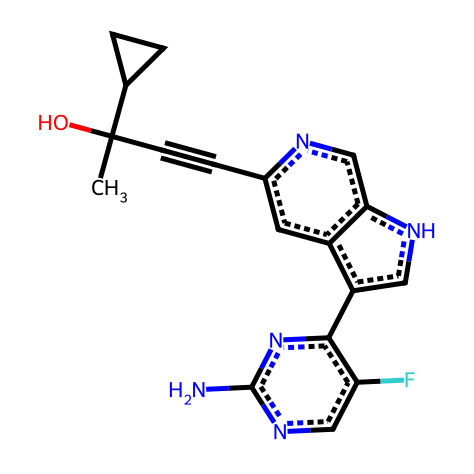 CC(O)(C#Cc1cc2c(-c3nc(N)ncc3F)c[nH]c2cn1)C1CC1